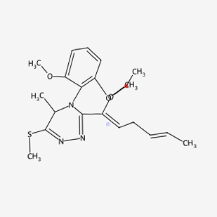 CC=CC/C=C(\OCC)C1=NN=C(SC)C(C)N1c1c(OC)cccc1OC